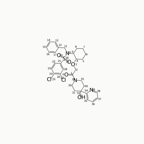 O=C(COC1CCCCC1N(Cc1ccccc1)S(=O)(=O)c1ccc(Cl)c(Cl)c1)N1CCC(O)(c2ccccn2)CC1